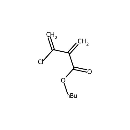 C=C(Cl)C(=C)C(=O)OCCCC